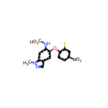 Cn1ncc2cc(Oc3ccc([N+](=O)[O-])cc3F)c(NC(=O)O)cc21